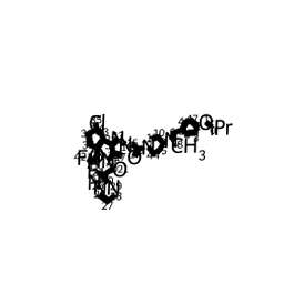 CC(C)Oc1ccc(CN(C)C2CCN(C(=O)Cn3cc(NC(=O)c4cnn5cccnc45)c(-c4cc(Cl)ccc4OC(F)F)n3)CC2)cc1